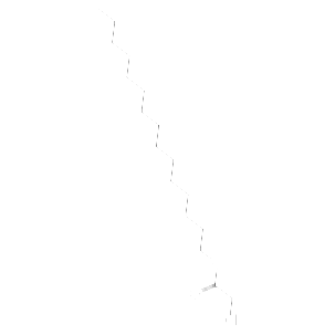 CCCCCCCCCCCCCCCOC(=O)CCl